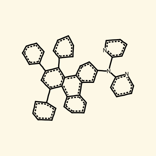 c1ccc(-c2cc(-c3ccccc3)c3c4ccccc4c4cc(N(c5ccccn5)c5ccccn5)ccc4c3c2-c2ccccc2)cc1